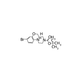 CC(C)(C)OC(=O)N1CCN2c3ccc(Br)cc3OC[C@H]2C1